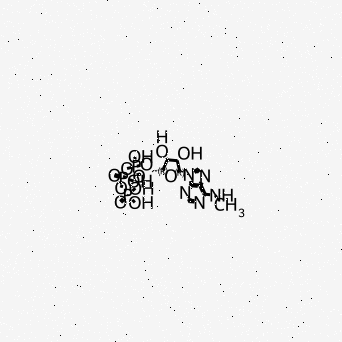 CNc1ncnc2c1ncn2[C@@H]1O[C@H](COP(=O)(O)OP(=O)(O)OP(=O)(O)O)C(O)C1O